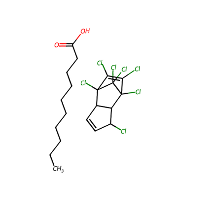 CCCCCCCCCC(=O)O.ClC1=C(Cl)C2(Cl)C3C(Cl)C=CC3C1(Cl)C2(Cl)Cl